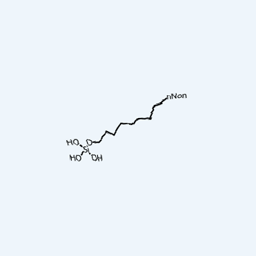 CCCCCCCCCCCCCCCCCCO[Si](O)(O)O